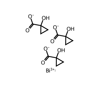 O=C([O-])C1(O)CC1.O=C([O-])C1(O)CC1.O=C([O-])C1(O)CC1.[Bi+3]